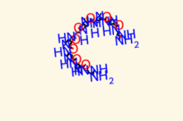 Cn1cc(NC(=O)c2cc(NC(=O)c3cc(NC(=O)/C=C/C(=O)Nc4cc(C(=O)Nc5cc(C(=O)Nc6cc(C(=O)NCCC(=N)N)n(C)c6)n(C)c5)n(C)c4)cn3C)cn2C)cc1C(=O)NCCC(=N)N